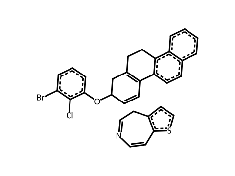 C1=Cc2sccc2CC=N1.Clc1c(Br)cccc1OC1C=CC2=C(CCc3c2ccc2ccccc32)C1